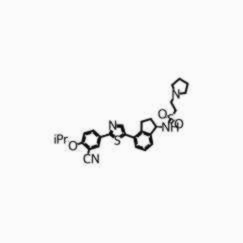 CC(C)Oc1ccc(-c2ncc(-c3cccc4c3CC[C@H]4NS(=O)(=O)CCN3CCCC3)s2)cc1C#N